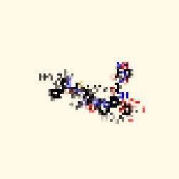 CC[C@H](C)[C@H](NC(=O)[C@H]1CCCC[N+]1(C)Cc1ccc(O[C@@H]2O[C@H](C(=O)O)[C@@H](O)[C@H](O)[C@H]2O)c(NC(=O)CCNC(=O)C(CN)N2C(=O)C=CC2=O)c1)C(=O)N(C)[C@H](C[C@@H](OC)c1nc(C(=O)N[C@@H](Cc2ccccc2)C[C@H](C)C(=O)O)cs1)C(C)C